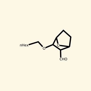 CCCCCCCOC1C2CCC(O2)C1C=O